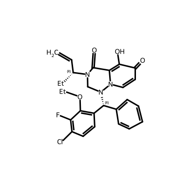 C=C[C@@H](CC)N1CN([C@H](c2ccccc2)c2ccc(Cl)c(F)c2OCC)n2ccc(=O)c(O)c2C1=O